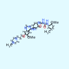 COc1ccc(C)cc1NC(=O)Nc1nc2ccc(Nc3ncnc4cc(OCCCN5CCN(C)CC5)c(OC)cc34)cc2o1